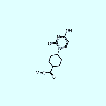 COC(=O)[C@H]1CC[C@H](n2ccc(O)nc2=O)CC1